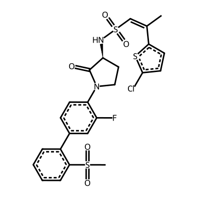 CC(=CS(=O)(=O)N[C@H]1CCN(c2ccc(-c3ccccc3S(C)(=O)=O)cc2F)C1=O)c1ccc(Cl)s1